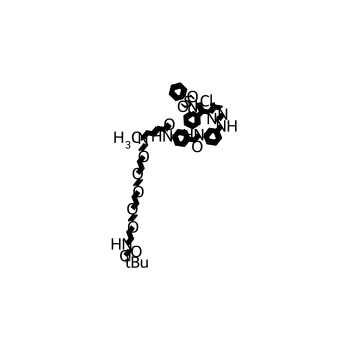 CN(C/C=C/C(=O)Nc1ccc(C(=O)Nc2cccc(Nc3ncc(Cl)c(-c4cn(S(=O)(=O)c5ccccc5)c5ccccc45)n3)c2)cc1)CCOCCOCCOCCOCCOCCNC(=O)OC(C)(C)C